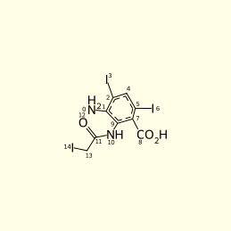 Nc1c(I)cc(I)c(C(=O)O)c1NC(=O)CI